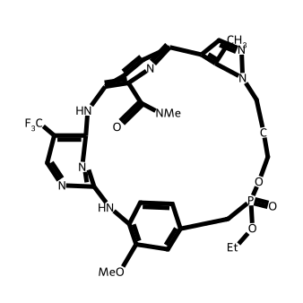 CCOP1(=O)Cc2ccc(c(OC)c2)Nc2ncc(C(F)(F)F)c(n2)Nc2ccc(nc2C(=O)NC)-c2cnn(c2C)CCCO1